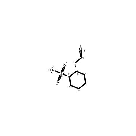 C=CC[C@@H]1CCCC[C@H]1S(N)(=O)=O